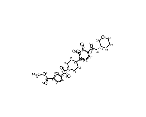 COC(=O)c1ccc(S(=O)(=O)N2CCC(n3ncc(NC[C@H]4CCCOC4)c(Cl)c3=O)CC2)s1